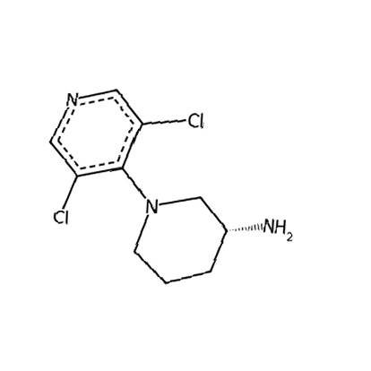 N[C@@H]1CCCN(c2c(Cl)cncc2Cl)C1